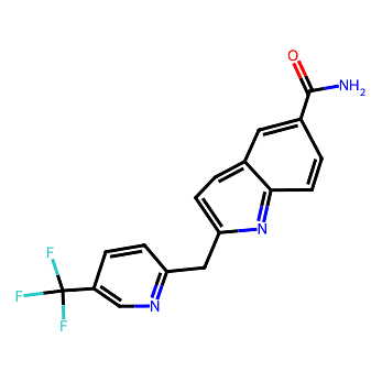 NC(=O)c1ccc2nc(Cc3ccc(C(F)(F)F)cn3)ccc2c1